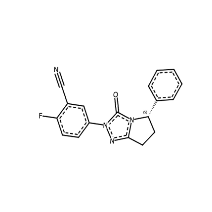 N#Cc1cc(-n2nc3n(c2=O)[C@H](c2ccccc2)CC3)ccc1F